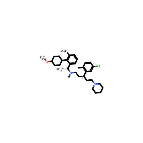 COc1cccc([C@@H](C(=O)O)N(C)CC[C@H](CCN2CCCCC2)c2cc(Cl)ccc2C)c1C1CCC(OC(F)(F)F)CC1